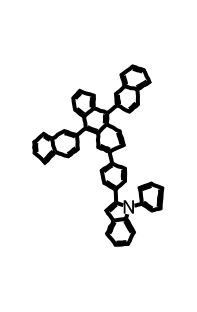 c1ccc(-n2c(-c3ccc(-c4ccc5c(-c6ccc7ccccc7c6)c6ccccc6c(-c6ccc7ccccc7c6)c5c4)cc3)cc3ccccc32)cc1